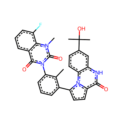 Cc1c(-c2ccc3c(=O)[nH]c4cc(C(C)(C)O)ccc4n23)cccc1-n1c(=O)c2cccc(F)c2n(C)c1=O